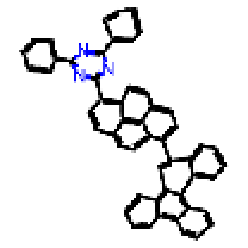 c1ccc(-c2nc(-c3ccccc3)nc(-c3ccc4ccc5c(-c6cc7c8ccccc8c8ccccc8c7c7ccccc67)ccc6ccc3c4c65)n2)cc1